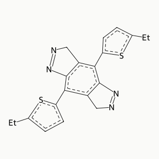 CCc1ccc(-c2c3c(c(-c4ccc(CC)s4)c4c2N=NC4)N=NC3)s1